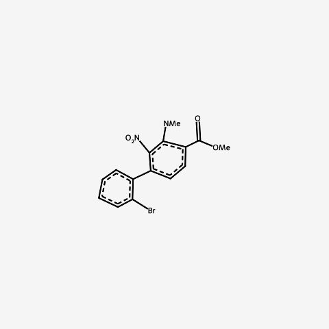 CNc1c(C(=O)OC)ccc(-c2ccccc2Br)c1[N+](=O)[O-]